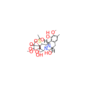 COc1c(C)cc2c(c1O)[C@H]1C3C4SCC(=O)C(=O)OCC(c5c(O)c(OC)c(C)c(OC(C)=O)c54)N3C(O)[C@@H](C2)N1C